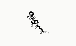 NC(=O)CC[CH]C(=O)N1CCC2C1C(=O)CN2S(=O)(=O)c1cccc[n+]1[O-]